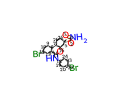 NS(=O)(=O)c1ccc(-c2ccc(Br)cc2C(=O)Nc2ccc(Br)cc2)cc1